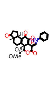 COC[C@H]1OC(=O)/C(=C/Nc2ccccc2)C2=C(O)C(=O)C3=C([C@H](OC(C)=O)C[C@]4(C)C(=O)CC[C@@H]34)[C@]21C